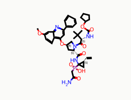 C=C[C@@H]1C[C@]1(NC(=O)[C@@H]1C[C@@H](Oc2cc(-c3ccccc3)nc3cc(OC)ccc23)CN1C(=O)[C@@H](NC(=O)OC1CCCC1)C(C)(C)C)P(=O)(O)CC(N)=O